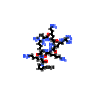 CC(C)[C@H](N)C(=O)N[C@@H](CCCCN)C(=O)N[C@@H](CCCNC(=N)N)C(=O)N[C@@H](CCCCN)C(=O)N[C@@H](CCCCN)C(=O)N[C@@H](CCCCN)C(=O)N1CCC[C@H]1C(=O)O